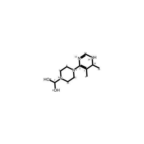 CC1=C(N2CCN(C(O)O)CC2)N=CNC1C